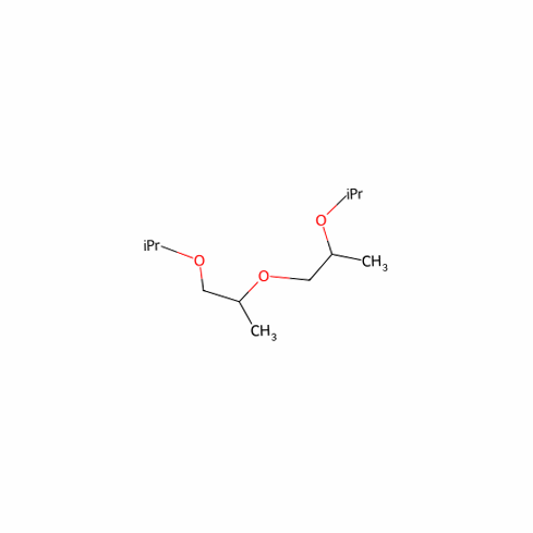 [CH2]C(C)OCC(C)OCC(C)OC(C)C